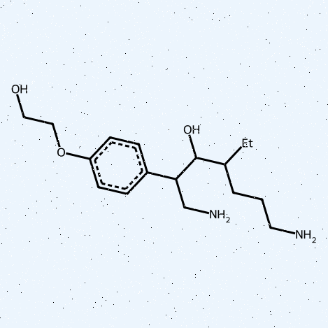 CCC(CCCN)C(O)C(CN)c1ccc(OCCO)cc1